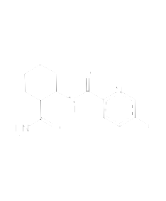 NC(=O)C1CCCCC1NC(=O)c1ccc(Cl)cn1